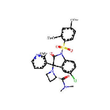 COc1ccc(S(=O)(=O)N2C(=O)C(c3cccnc3OC)(N3CC[C@H]3C(=O)N(C)C)c3cc(Cl)ccc32)c(OC)c1